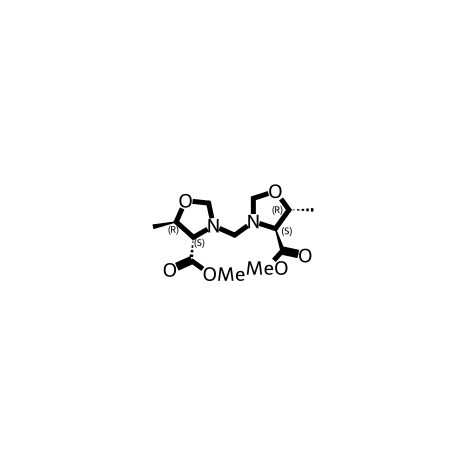 COC(=O)[C@@H]1[C@@H](C)OCN1CN1CO[C@H](C)[C@H]1C(=O)OC